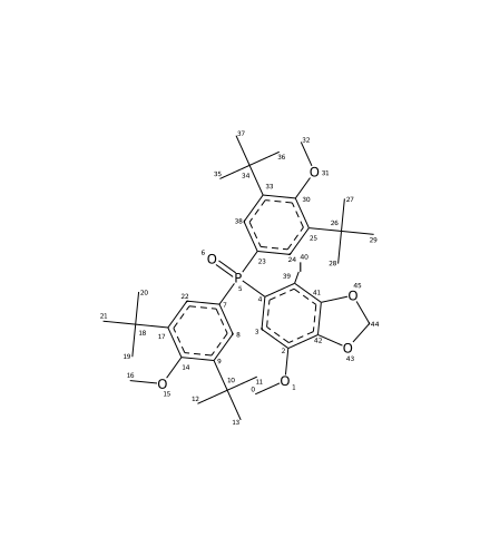 COc1cc(P(=O)(c2cc(C(C)(C)C)c(OC)c(C(C)(C)C)c2)c2cc(C(C)(C)C)c(OC)c(C(C)(C)C)c2)c(I)c2c1OCO2